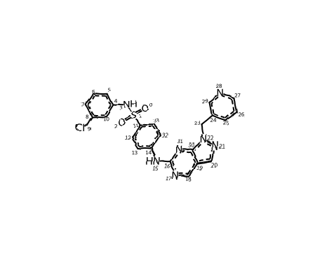 O=S(=O)(Nc1cccc(Cl)c1)c1ccc(Nc2ncc3cnn(Cc4cccnc4)c3n2)cc1